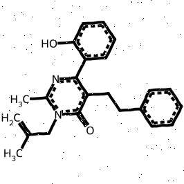 C=C(C)Cn1c(C)nc(-c2ccccc2O)c(CCc2ccccc2)c1=O